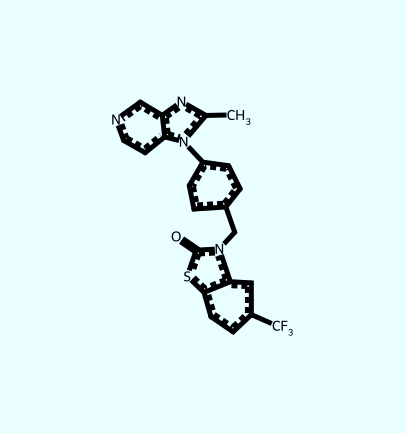 Cc1nc2cnccc2n1-c1ccc(Cn2c(=O)sc3ccc(C(F)(F)F)cc32)cc1